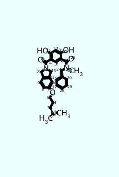 CN(C)CCCOc1ccc2c(c1)CN(C(=O)c1cc(C(=O)N(C)Cc3ccccc3)c(O)cc1O)C2